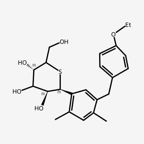 CCOc1ccc(Cc2cc([C@@H]3SC(CO)[C@@H](O)C(O)[C@@H]3O)c(C)cc2C)cc1